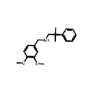 COc1ccc(CNCC(C)(C)c2ccccc2)cc1OC